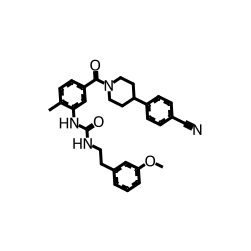 COc1cccc(CCNC(=O)Nc2cc(C(=O)N3CCC(c4ccc(C#N)cc4)CC3)ccc2C)c1